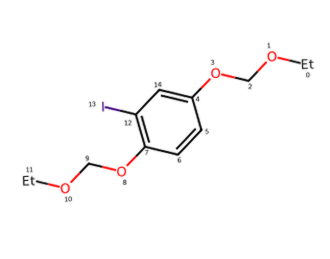 CCOCOc1ccc(OCOCC)c(I)c1